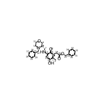 Cc1c(O)nc(NC[C@H]2COCCN2Cc2ccccc2)c(=O)n1CC(=O)OCc1ccccc1